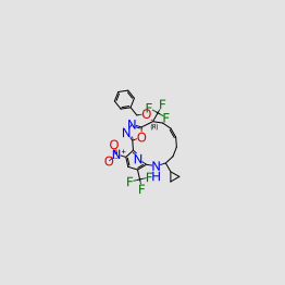 O=[N+]([O-])c1cc(C(F)(F)F)c2nc1-c1nnc(o1)[C@@](OCc1ccccc1)(C(F)(F)F)CC=CCCC(C1CC1)N2